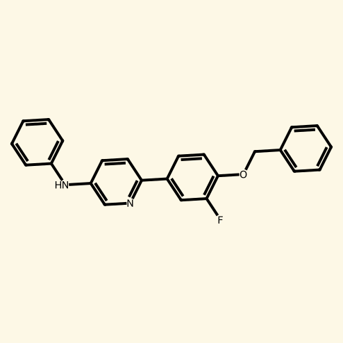 Fc1cc(-c2ccc(Nc3ccccc3)cn2)ccc1OCc1ccccc1